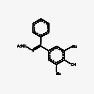 CCC(C)c1cc(C(=NNC(C)=O)c2ccccc2)cc(C(C)CC)c1O